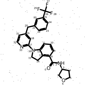 O=C(N[C@H]1CCOC1)c1cccc2c1CCN2c1cc(Cc2cccc(C(F)(F)F)c2)ccn1